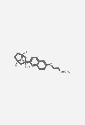 COCCOc1ccc2cc([C@@]3(O)C[C@H]4CC[C@@H](C3)N4C)ccc2c1